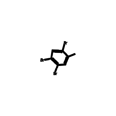 Cc1cc(Br)c(Br)cc1Br